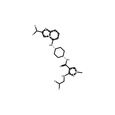 Cn1cc(C(=O)N[C@H]2CC[C@@H](Nc3cccc4nc(C(F)F)cn34)CC2)c(NCC(F)F)n1